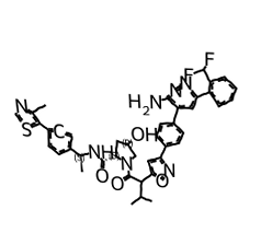 Cc1ncsc1-c1ccc([C@H](C)NC(=O)[C@@H]2C[C@@H](O)CN2C(=O)C(c2cc(-c3ccc(-c4cc(-c5ccccc5C(F)F)nnc4N)cc3)no2)C(C)C)cc1